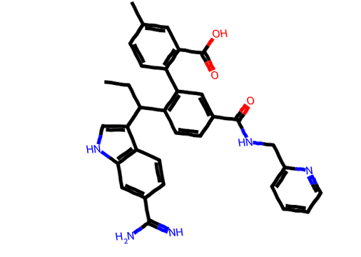 CCC(c1ccc(C(=O)NCc2ccccn2)cc1-c1ccc(C)cc1C(=O)O)c1c[nH]c2cc(C(=N)N)ccc12